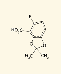 CC1(C)Oc2ccc(F)c(C(=O)O)c2O1